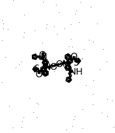 CO/N=C(\CCC1CCCC1)c1ccc2c(c1)c1cc(C(=O)c3cccs3)c3ccccc3c1n2CCOCCOCCn1c2ccc(C(=N)CCC3CCCC3)cc2c2cc(C(=O)c3cccs3)c3ccccc3c21